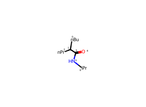 CCCC[C](CCC)C(=O)NC(C)C